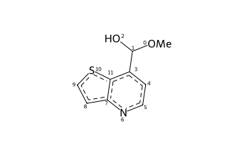 COC(O)c1ccnc2ccsc12